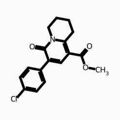 COC(=O)c1cc(-c2ccc(Cl)cc2)c(=O)n2c1CCCC2